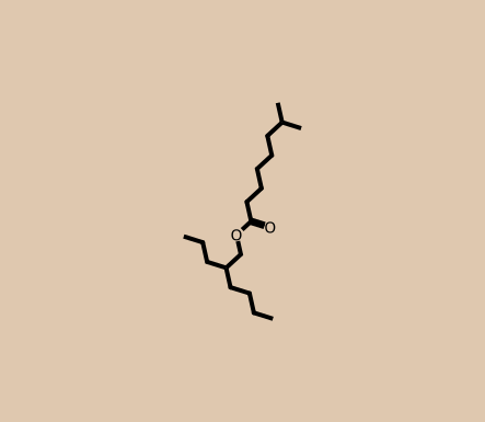 CCCCC(CCC)COC(=O)CCCCCC(C)C